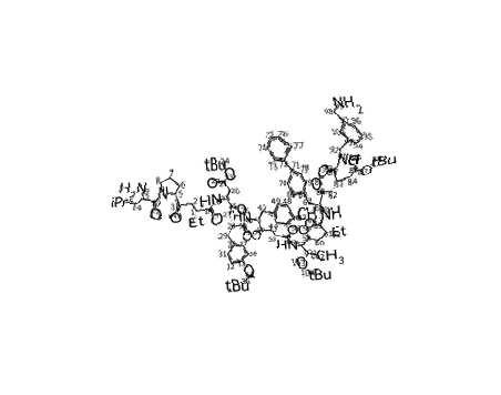 CC[C@H](CC(=O)[C@@H]1CCCN1C(=O)[C@@H](N)CC(C)C)C(=O)N[C@@H](CC(=O)OC(C)(C)C)C(=O)C[C@@H](Cc1ccc(OC(C)(C)C)cc1)C(=O)N[C@@H](Cc1ccc(C)cc1)C(=O)CCC(=O)N[C@H](C(=O)C[C@@H](CC)C(=O)N[C@@H](Cc1ccc(-c2ccccc2)cc1)C(=O)C[C@@H](CC(=O)OC(C)(C)C)C(=O)NCc1cccc(CN)c1)C(C)OC(C)(C)C